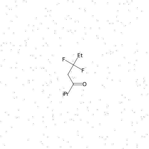 CCC(F)(F)CC(=O)C(C)C